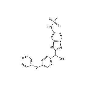 CS(=O)(=O)Nc1ccc2nc(C(O)c3ccc(Oc4ccccc4)cc3)[nH]c2c1